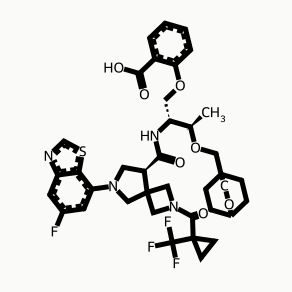 C[C@@H](OCC12CCC(CC1)OC2)[C@@H](COc1ccccc1C(=O)O)NC(=O)[C@@H]1CN(c2cc(F)cc3ncsc23)CC12CN(C(=O)C1(C(F)(F)F)CC1)C2